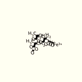 C=C(C)C(=O)[O-].C=C(C)C(=O)[O-].C=C(C)C(=O)[O-].[C]=O.[C]=O.[C]=O.[C]=O.[Fe+3]